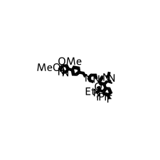 CCN(C(=O)c1cc(F)ccc1-c1cc(N2CCN(CCc3ccc(-c4cc(OC)c(OC)nn4)cc3)CC2)cn2c(C)ncc12)C(C)C